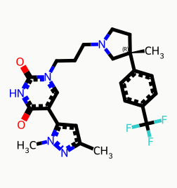 Cc1cc(-c2cn(CCCN3CC[C@](C)(c4ccc(C(F)(F)F)cc4)C3)c(=O)[nH]c2=O)n(C)n1